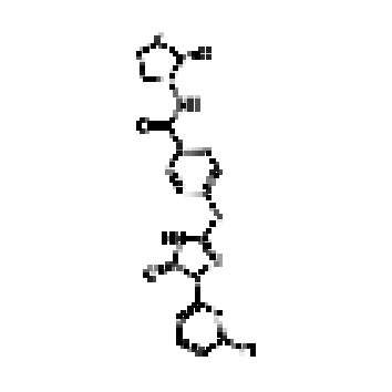 O=C(NC1CCOC1=O)c1ccc(Nc2nn(-c3cccc(Cl)c3)c(=O)[nH]2)cc1